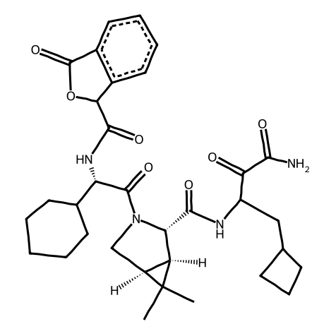 CC1(C)[C@@H]2[C@@H](C(=O)NC(CC3CCC3)C(=O)C(N)=O)N(C(=O)[C@@H](NC(=O)C3OC(=O)c4ccccc43)C3CCCCC3)C[C@@H]21